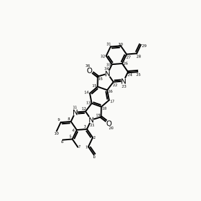 C=C/C=C1\C(=C(C)C)/C(=C\C)N=C2c3cc4c(cc3C(=O)N21)C1=NC(=C)c2c(C=C)cccc2N1C4=O